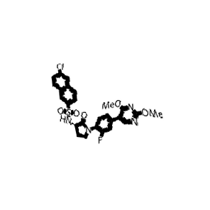 COc1ncc(-c2ccc(N3CC[C@H](NS(=O)(=O)c4ccc5cc(Cl)ccc5c4)C3=O)c(F)c2)c(OC)n1